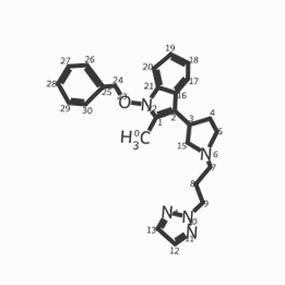 Cc1c(C2CCN(CCCn3nccn3)C2)c2ccccc2n1OCc1ccccc1